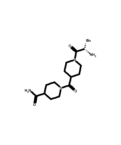 CC[C@@H](C)[C@H](N)C(=O)N1CCC(C(=O)N2CCC(C(N)=O)CC2)CC1